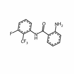 Nc1ccccc1C(=O)Nc1cccc(F)c1C(F)(F)F